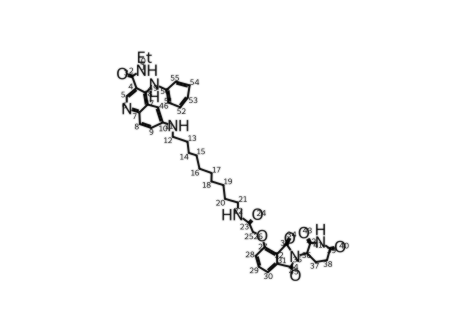 CCNC(=O)c1cnc2ccc(NCCCCCCCCCCNC(=O)COc3cccc4c3C(=O)N(C3CCC(=O)NC3=O)C4=O)cc2c1Nc1ccccc1